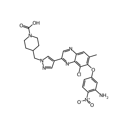 Cc1cc2ncc(-c3cnn(CC4CCN(C(=O)O)CC4)c3)nc2c(Cl)c1Oc1ccc([N+](=O)[O-])c(N)c1